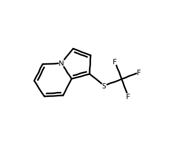 FC(F)(F)Sc1ccn2ccccc12